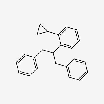 c1ccc(C[C](Cc2ccccc2)c2ccccc2C2CC2)cc1